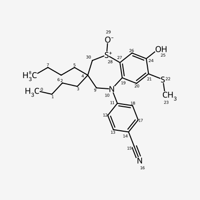 CCCCC1(CCCC)CN(c2ccc(C#N)cc2)c2cc(SC)c(O)cc2[S+]([O-])C1